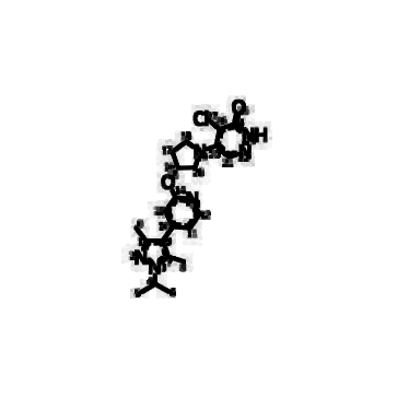 Cc1nn(C(C)C)c(C)c1-c1ccnc(O[C@@H]2CCN(c3cn[nH]c(=O)c3Cl)C2)c1